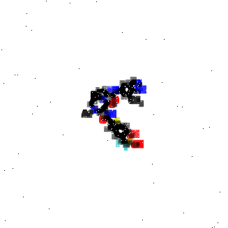 CC(=O)N1CC[C@H]2CC[C@@H](C(=O)Nc3cc(C)c4[nH]ncc4c3)N2C(=O)[C@@H](NC(=O)c2cc3cc(C(F)(F)P(O)O)ccc3s2)C1